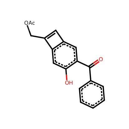 CC(=O)OCC1=Cc2cc(C(=O)c3ccccc3)c(O)cc21